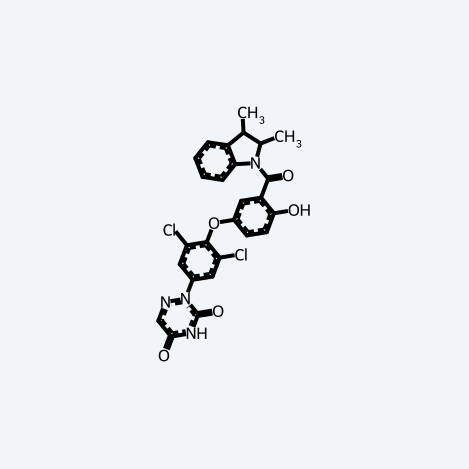 CC1c2ccccc2N(C(=O)c2cc(Oc3c(Cl)cc(-n4ncc(=O)[nH]c4=O)cc3Cl)ccc2O)C1C